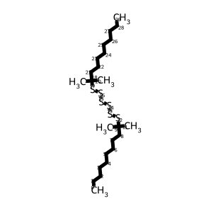 CCCCCCCCCC(C)(C)SSSSSSC(C)(C)CCCCCCCCC